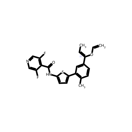 C=CO/C(=C\C)c1ccc(C)c(-c2ccc(NC(=O)c3c(F)cncc3F)s2)c1